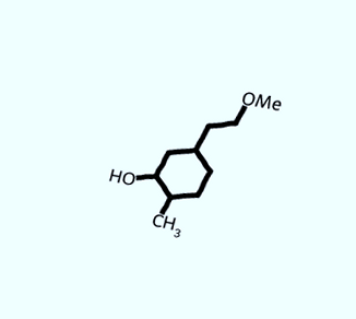 COCCC1CCC(C)C(O)C1